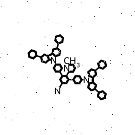 Cc1cccc(-c2c(-c3ccc(-n4c5ccc(-c6ccccc6)cc5c5cc(-c6ccccc6)ccc54)cc3)cc(C#N)cc2-c2ccc(-n3c4ccc(-c5ccccc5)cc4c4cc(-c5ccccc5)ccc43)cc2)n1